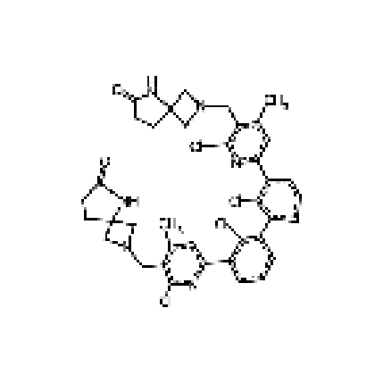 Cc1cc(-c2cccc(-c3cccc(-c4cc(C)c(CN5CC6(CCC(=O)N6)C5)c(Cl)n4)c3Cl)c2Cl)nc(Cl)c1CN1CC2(CCC(=O)N2)C1